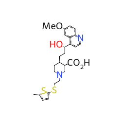 COc1ccc2nccc([C@@H](O)CC[C@@H]3CCN(CCSc4ccc(C)s4)C[C@@H]3C(=O)O)c2c1